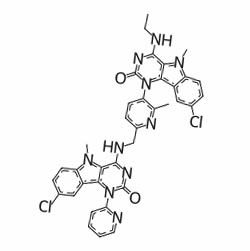 CCNc1nc(=O)n(-c2ccc(CNc3nc(=O)n(-c4ccccn4)c4c5cc(Cl)ccc5n(C)c34)nc2C)c2c3cc(Cl)ccc3n(C)c12